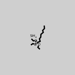 CCCCCCCC[Si](OCC)(OCC)OCC.[SiH4]